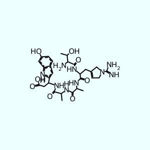 CC(NC(=O)C(C)NC(=O)C(CC1=CCN(C(=N)N)C1)NC(=O)C(N)C(C)O)C(=O)NC(CC(=O)O)c1cc2ccc(O)cc2[nH]1